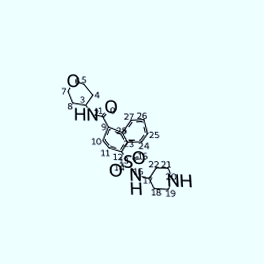 O=C(NC1CCOCC1)c1ccc(S(=O)(=O)NC2CCNCC2)c2ccccc12